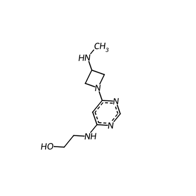 CNC1CN(c2cc(NCCO)ncn2)C1